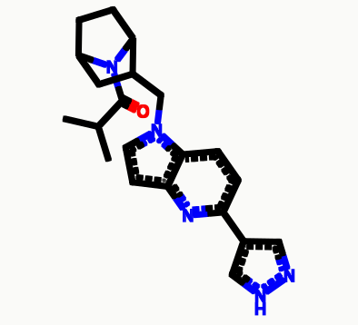 CC(C)C(=O)N1C2CCC1C(Cn1ccc3nc(-c4cn[nH]c4)ccc31)C2